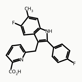 Cc1cc2[nH]c(-c3ccc(F)cc3)c(Cc3cccc(C(=O)O)n3)c2cc1F